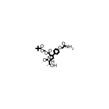 C[C@@H](O)[C@H]1C(=O)N2C(C(=O)OCOC(=O)C(C)(C)C)=C(c3ccc(OCC(N)=O)cc3)C[C@H]12